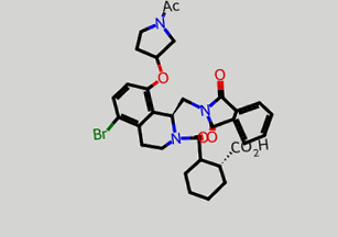 CC(=O)N1CCC(Oc2ccc(Br)c3c2[C@@H](CN2C(=O)c4ccccc4C2=O)N(C(=O)C2CCCC[C@H]2C(=O)O)CC3)C1